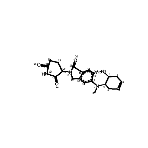 CN[C@H]1CC=CC[C@H]1N(C)c1ccc2c(c1)CN(C1CCC(=O)NC1=O)C2=O